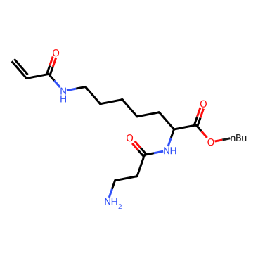 C=CC(=O)NCCCCCC(NC(=O)CCN)C(=O)OCCCC